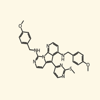 COc1ccc(CNc2ccnc3c2c(-c2ccnc(SC)n2)c2ccnc(NCc4ccc(OC)cc4)n23)cc1